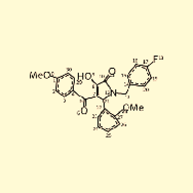 COc1ccc(C(=O)C2=C(O)C(=O)N(Cc3ccc(F)cc3)C2c2ccccc2OC)cc1